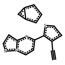 C#Cc1ccsc1-c1ccn2nccc2n1.c1cc2cc-2c1